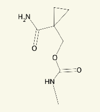 CNC(=O)OCC1(C(N)=O)CC1